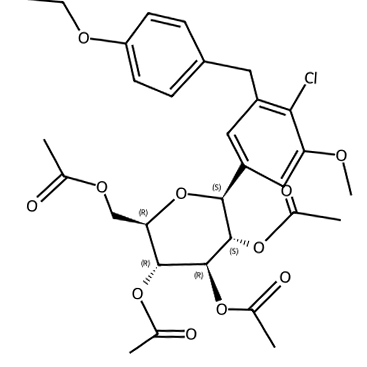 CCOc1ccc(Cc2cc([C@@H]3O[C@H](COC(C)=O)[C@@H](OC(C)=O)[C@H](OC(C)=O)[C@H]3OC(C)=O)cc(OC)c2Cl)cc1